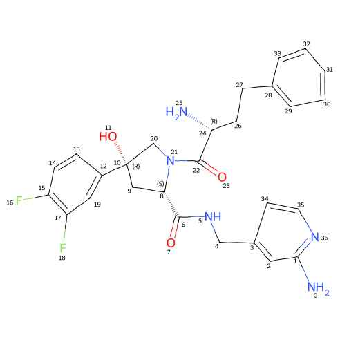 Nc1cc(CNC(=O)[C@@H]2C[C@@](O)(c3ccc(F)c(F)c3)CN2C(=O)[C@H](N)CCc2ccccc2)ccn1